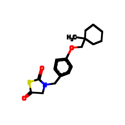 CC1(COc2ccc(CN3CC(=O)SC3=O)cc2)CCCCC1